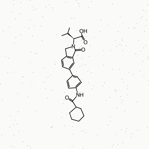 CC(C)[C@@H](C(=O)O)N1Cc2ccc(-c3ccc(NC(=O)C4CCCCC4)cc3)cc2C1=O